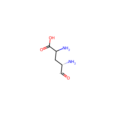 NC(C[C@H](N)[C]=O)C(=O)O